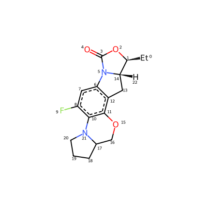 CC[C@@H]1OC(=O)N2c3cc(F)c4c(c3C[C@@H]12)OCC1CCCN41